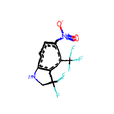 O=[N+]([O-])c1ccc2c(c1C(F)(F)F)C(F)(F)CN2